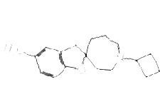 Cc1ccc2c(c1)CC1(CCCN(C3CCC3)CC1)O2